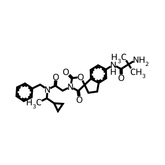 CC(C1CC1)N(Cc1ccccc1)C(=O)CN1C(=O)OC2(CCc3cc(NC(=O)C(C)(C)N)ccc32)C1=O